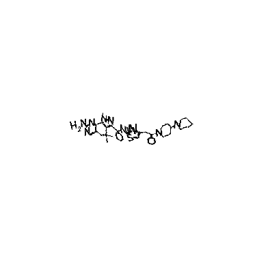 Cn1nc(C(=O)Nc2nc(CC(=O)N3CCC(N4CCCCC4)CC3)cs2)c2c1-c1nc(N)ncc1CC2(C)C